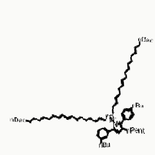 CCCCCC1=C(c2ccc(CCCC)cc2)[N+](=[N-])C(c2cccc(CCCC)c2)=C1.CCCCCCCCCCCCCCCCCCCCCCCCCC[CH2][Pd][CH2]CCCCCCCCCCCCCCCCCCCCCCCCCC